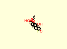 CCCC(=O)O[C@]1(C(=O)CO)[C@@H](C)C[C@H]2[C@@H]3CCC4=C(F)C(=O)C=C[C@]4(C)[C@H]3[C@@H](O)C[C@@]21C